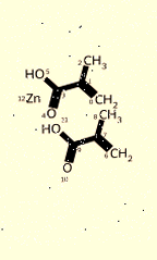 C=C(C)C(=O)O.C=C(C)C(=O)O.[Zn]